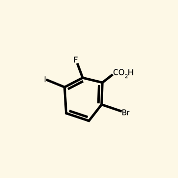 O=C(O)c1c(Br)ccc(I)c1F